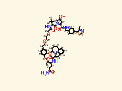 Cc1ncsc1-c1ccc(CNC(=O)[C@@H]2C[C@@H](O)CN2C(=O)[C@@H](NC(=O)COCCOCCc2ccc(CO[C@H](C)[C@H](CCC(N)=O)NC(=O)[C@@H]3Cc4cccc5c4N3C(=O)CCC5)cc2)C(C)(C)C)cc1